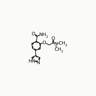 CN(C)C(=O)COc1cc(-c2cn[nH]c2)ccc1C(N)=O